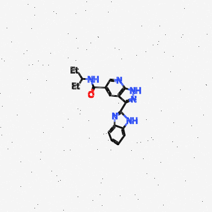 CCC(CC)NC(=O)c1cnc2[nH]nc(-c3nc4ccccc4[nH]3)c2c1